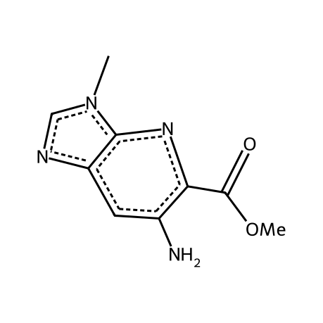 COC(=O)c1nc2c(cc1N)ncn2C